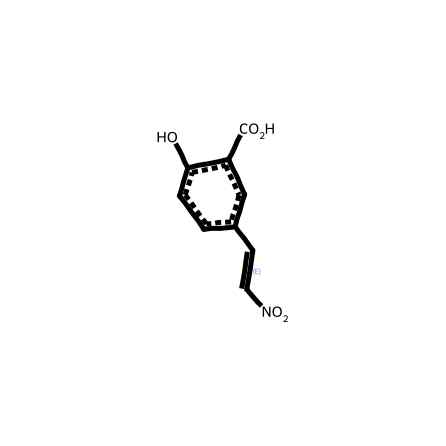 O=C(O)c1cc(/C=C/[N+](=O)[O-])ccc1O